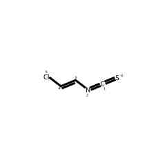 S=C=NC=CCl